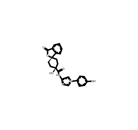 O=C1O[C@]2(CC[C@@](O)(C(=O)Nc3cn(-c4ccc(O)cc4)cn3)CC2)c2ccccc21